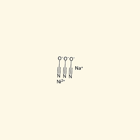 N#C[O-].N#C[O-].N#C[O-].[Na+].[Ni+2]